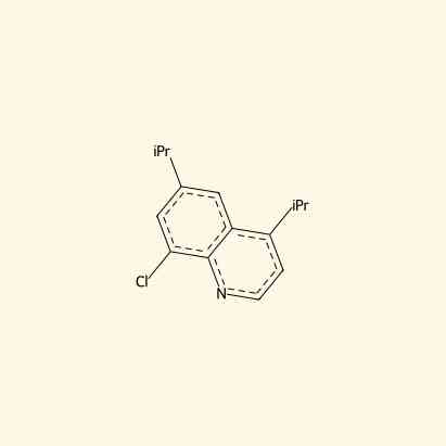 CC(C)c1cc(Cl)c2nccc(C(C)C)c2c1